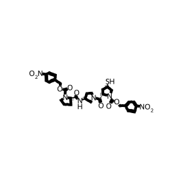 O=C(N[C@H]1CCN(C(=O)[C@@H]2C[C@H](S)CN2C(=O)OCc2ccc([N+](=O)[O-])cc2)C1)[C@H]1CCCN1C(=O)OCc1ccc([N+](=O)[O-])cc1